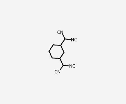 [C-]#[N+]C([N+]#[C-])C1CCCC(C([N+]#[C-])[N+]#[C-])C1